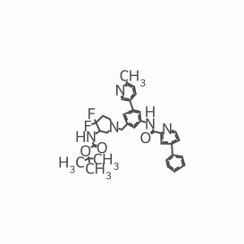 Cc1ccc(-c2cc(CN3CCC(F)(F)C(NC(=O)OC(C)(C)C)C3)cc(NC(=O)c3cc(-c4ccccc4)ccn3)c2)cn1